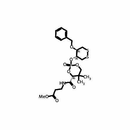 COC(=O)CCNC(=O)[C@@H]1OP(=O)(O[C@H]2CSSC[C@@H]2OCc2ccccc2)OCC1(C)C